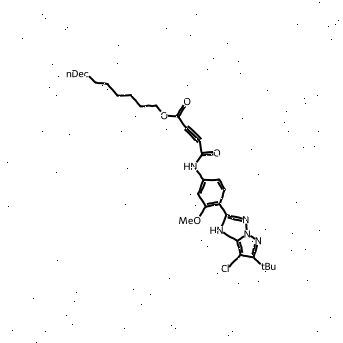 CCCCCCCCCCCCCCCCOC(=O)C#CC(=O)Nc1ccc(-c2nn3nc(C(C)(C)C)c(Cl)c3[nH]2)c(OC)c1